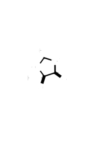 O=C1OCOC1=O.[K].[K]